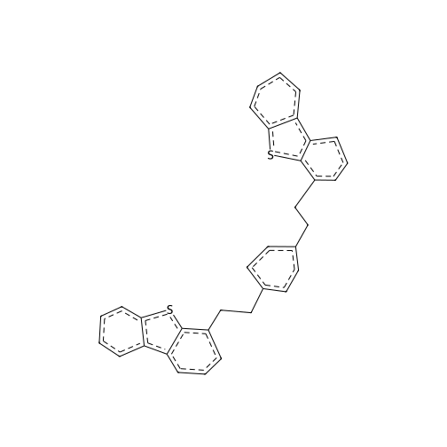 c1ccc2c(c1)sc1c(CCc3ccc(CCc4cccc5c4sc4ccccc45)cc3)cccc12